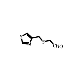 O=CCSCc1cscn1